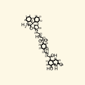 NC(=O)C(c1ccccc1)(c1ccccc1)[C@@H]1CCN(CCNCS(=O)(=O)c2ccc(CNC[C@@H](O)c3ccc(O)c4[nH]c(=O)ccc34)cc2)C1